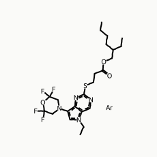 CCCCC(CC)COC(=O)CCSc1ncc2c(n1)c(N1CC(F)(F)OC(F)(F)C1)cn2CC.[Ar]